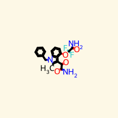 Cc1c(C(=O)C(N)=O)c2c(OC(F)(F)C(N)=O)cccc2n1Cc1ccccc1